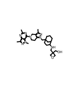 Cc1nc(N2CCc3c(c(C)nn3CC34CCCC(C3)C(NCC3(CO)COC3)CC4)C2)c2c(n1)c(C)nn2C